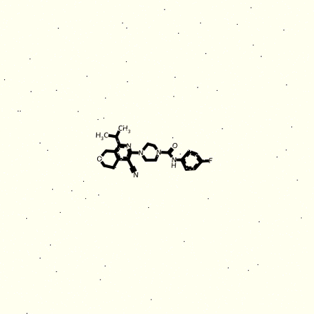 CC(C)c1nc(N2CCN(C(=O)Nc3ccc(F)cc3)CC2)c(C#N)c2c1COCC2